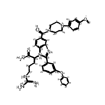 COc1ccc(N2CCN(C(=O)c3ccc4c(c3)nc(-c3cccc(Oc5ccccc5)c3)n4C(CCCNC(=N)N)C(N)=O)CC2)cc1